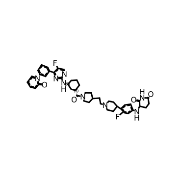 O=C1CCC(Nc2ccc(C3CCN(CCC4CCN(C(=O)[C@H]5CCC[C@@H](Nc6ncc(F)c(-c7cccc(-n8ccccc8=O)c7)n6)C5)CC4)CC3)c(F)c2)C(=O)N1